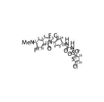 CNc1cc2ccn(-c3ccc(NC(=O)NS(=O)(=O)c4ccc(Cl)s4)cc3C(F)(F)F)c(=O)c2cc1F